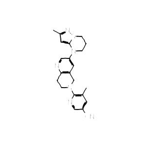 Cc1cc2n(n1)CCCN2c1cnc2c(c1)CN(c1ncc(C#N)cc1C)CC2